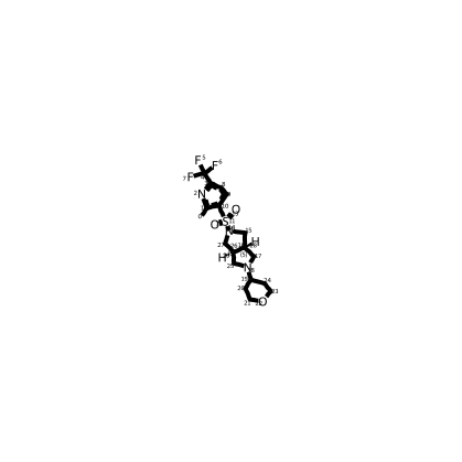 Cc1nc(C(F)(F)F)ccc1S(=O)(=O)N1C[C@@H]2CN(C3CCOCC3)C[C@H]2C1